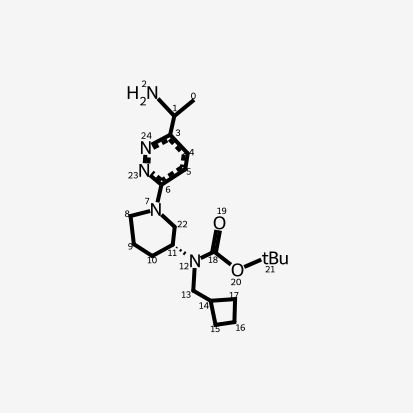 CC(N)c1ccc(N2CCC[C@@H](N(CC3CCC3)C(=O)OC(C)(C)C)C2)nn1